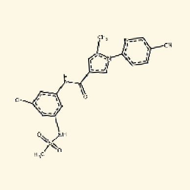 Cc1cc(C(=O)Nc2cc(Cl)cc(NS(C)(=O)=O)c2)cn1-c1ccc(C#N)cn1